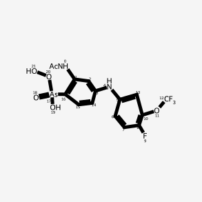 CC(=O)Nc1cc(Nc2ccc(F)c(OC(F)(F)F)c2)ccc1[As](=O)(O)OO